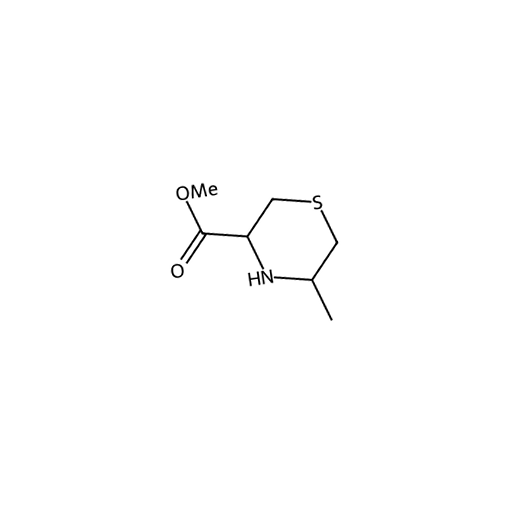 COC(=O)C1CSCC(C)N1